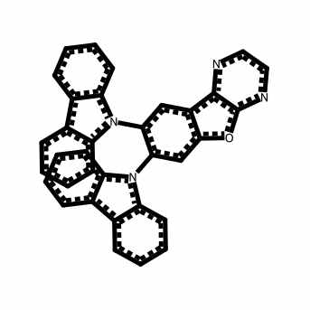 c1ccc2c(c1)c1ccccc1n2-c1cc2oc3nccnc3c2cc1-n1c2ccccc2c2ccccc21